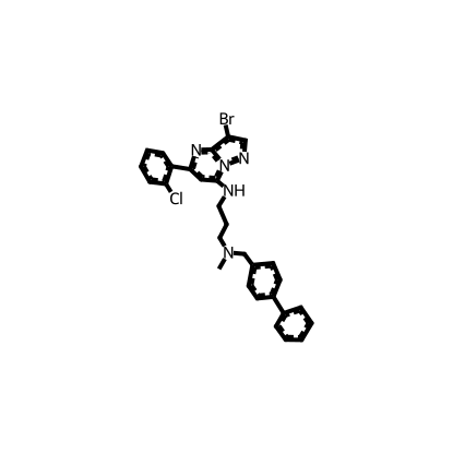 CN(CCCNc1cc(-c2ccccc2Cl)nc2c(Br)cnn12)Cc1ccc(-c2ccccc2)cc1